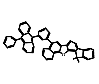 CC1(C)c2ccccc2-c2ccc3c(oc4c5ccccc5c(-c5cccc(-c6c7ccccc7c(-c7ccccc7)c7ccccc67)c5)cc34)c21